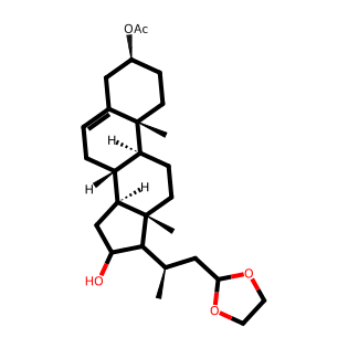 CC(=O)O[C@H]1CC[C@@]2(C)C(=CC[C@@H]3[C@@H]2CC[C@]2(C)C([C@H](C)CC4OCCO4)C(O)C[C@@H]32)C1